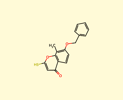 Cc1c(OCc2ccccc2)ccc2c(=O)cc(S)oc12